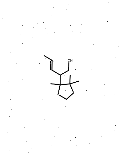 C/C=C/C(CC#N)C1(C)CCCC1(C)C